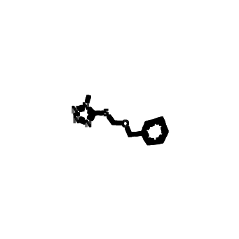 Cn1nnnc1SCOCc1ccccc1